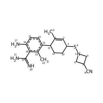 CC1=CC(SN2CC(C#N)C2)CCC1c1ccc(N)c(C(=N)N)c1C